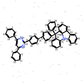 c1ccc(-c2cc(-c3ccccc3)nc(-c3ccc(-c4ccc(C5(c6ccccc6)c6ccccc6-n6c7ccccc7c7cccc5c76)cc4)cc3)n2)cc1